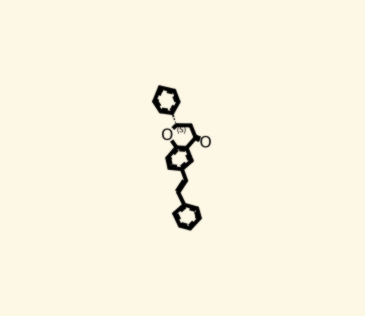 O=C1C[C@@H](c2ccccc2)Oc2ccc(C=Cc3ccccc3)cc21